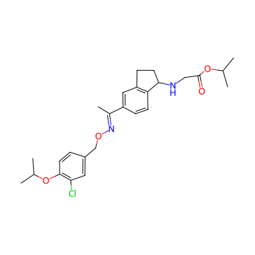 C/C(=N\OCc1ccc(OC(C)C)c(Cl)c1)c1ccc2c(c1)CCC2NCC(=O)OC(C)C